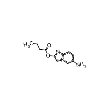 CCCC(=O)Oc1cn2cc(N)ccc2n1